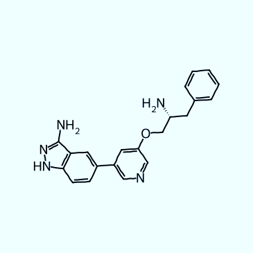 Nc1n[nH]c2ccc(-c3cncc(OC[C@H](N)Cc4ccccc4)c3)cc12